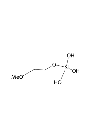 COCCO[Si](O)(O)O